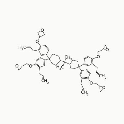 C=CCc1cc(C2(c3ccc(OCC4CO4)c(CC=C)c3)CCC(C(C)(C)C3CCC(c4ccc(OCC5CO5)c(CC=C)c4)(c4ccc(OC5COC5)c(CC=C)c4)CC3)CC2)ccc1OCC1CO1